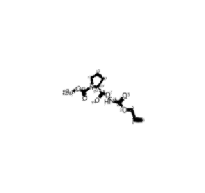 C=CCOC(=O)NOC(=O)[C@@H]1CCCN1C(=O)OC(C)(C)C